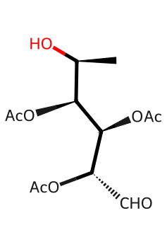 CC(=O)O[C@H]([C@@H](OC(C)=O)[C@H](C=O)OC(C)=O)[C@H](C)O